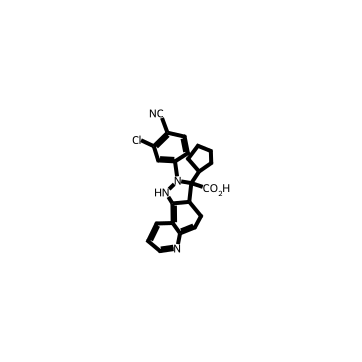 N#Cc1ccc(N2NC3=c4cccnc4=CCC3C2(C(=O)O)C2CCCC2)cc1Cl